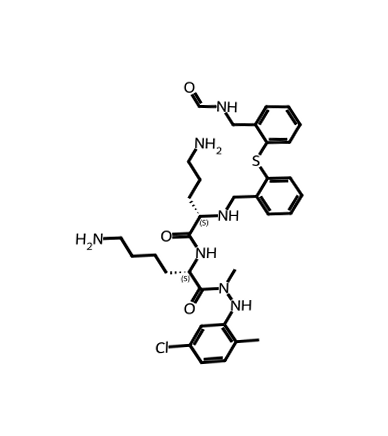 Cc1ccc(Cl)cc1NN(C)C(=O)[C@H](CCCCN)NC(=O)[C@H](CCCN)NCc1ccccc1Sc1ccccc1CNC=O